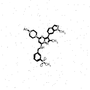 CC(=O)N1CCN(c2cc(NCc3cccc(S(C)(=O)=O)c3)n3nc(C)c(-c4ccc5cnn(C)c5c4)c3n2)CC1